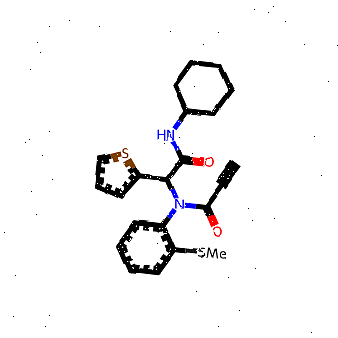 C#CC(=O)N(c1ccccc1SC)C(C(=O)NC1CCCCC1)c1cccs1